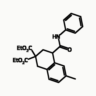 CCOC(=O)C1(C(=O)OCC)Cc2ccc(C)cc2C(C(=O)Nc2ccccc2)C1